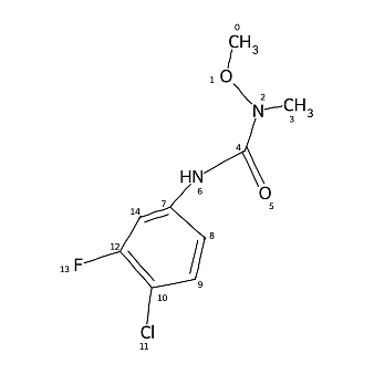 CON(C)C(=O)Nc1ccc(Cl)c(F)c1